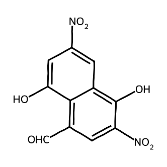 O=Cc1cc([N+](=O)[O-])c(O)c2cc([N+](=O)[O-])cc(O)c12